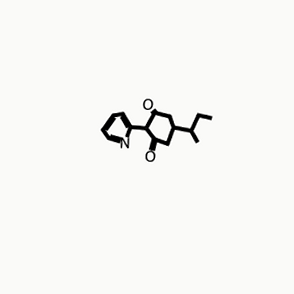 CCC(C)C1CC(=O)C(c2ccccn2)C(=O)C1